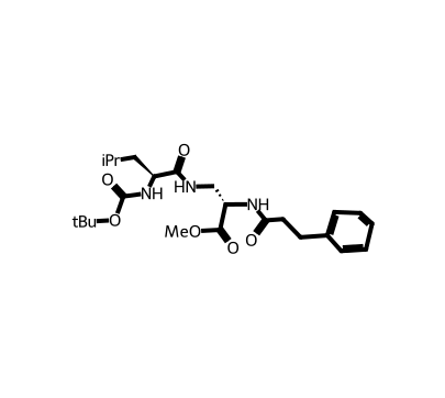 COC(=O)[C@H](CNC(=O)[C@H](CC(C)C)NC(=O)OC(C)(C)C)NC(=O)CCc1ccccc1